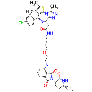 C=C1CCC(N2C(=O)c3cccc(NCCOCCCCNC(=O)C[C@@H]4N=C(c5ccc(Cl)cc5)c5c(sc(C)c5C)-n5c(C)nnc54)c3C2=O)C(=O)N1